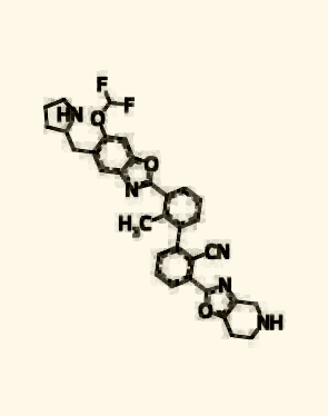 Cc1c(-c2nc3cc(CC4CCCN4)c(OC(F)F)cc3o2)cccc1-c1cccc(-c2nc3c(o2)CCNC3)c1C#N